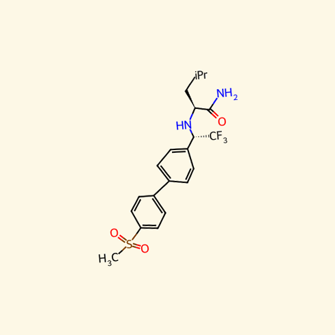 CC(C)C[C@H](N[C@@H](c1ccc(-c2ccc(S(C)(=O)=O)cc2)cc1)C(F)(F)F)C(N)=O